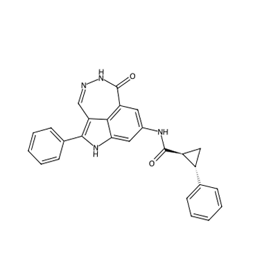 O=C1NN=Cc2c(-c3ccccc3)[nH]c3cc(NC(=O)[C@H]4C[C@@H]4c4ccccc4)cc1c23